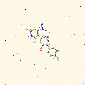 Cc1cc(N(C)C)c2c(n1)sc1c(=O)n(-c3ccc(F)cc3)cnc12